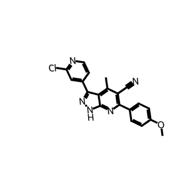 COc1ccc(-c2nc3[nH]nc(-c4ccnc(Cl)c4)c3c(C)c2C#N)cc1